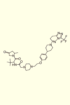 CC1CC(=O)CN1C(=O)C(NC(=O)CN1CCN(CCOc2ccc(C3CCN(C4=Nn5c(nnc5C(F)(F)F)CC4)CC3)cc2)CC1)C(C)(C)C